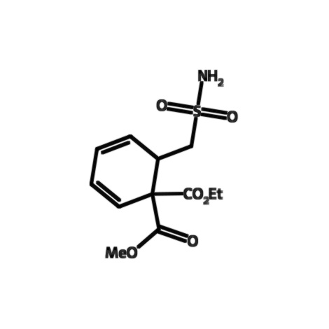 CCOC(=O)C1(C(=O)OC)C=CC=CC1CS(N)(=O)=O